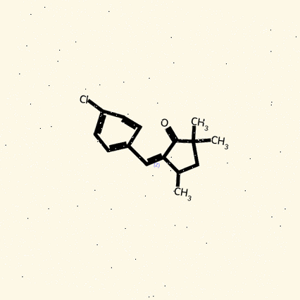 CC1CC(C)(C)C(=O)/C1=C\c1ccc(Cl)cc1